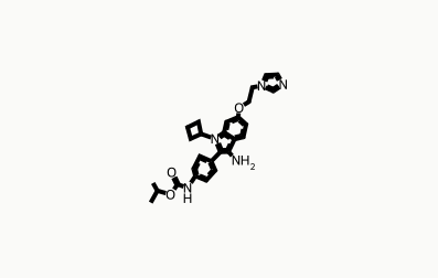 CC(C)OC(=O)Nc1ccc(-c2c(N)c3ccc(OCCn4ccnc4)cc3n2C2CCC2)cc1